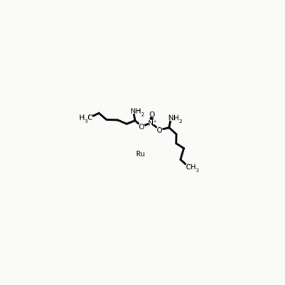 CCCCCC(N)O[N+](=O)OC(N)CCCCC.[Ru]